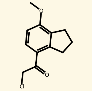 COc1ccc(C(=O)CCl)c2c1CCC2